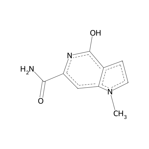 Cn1ccc2c(O)nc(C(N)=O)cc21